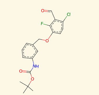 CC(C)(C)OC(=O)Nc1cccc(COc2ccc(Cl)c(C=O)c2F)c1